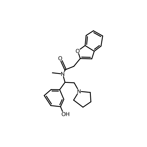 CN(C(=O)Cc1cc2ccccc2o1)C(CN1CCCC1)c1cccc(O)c1